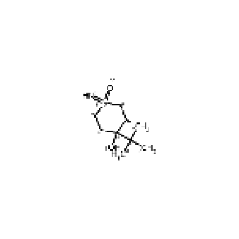 CC(C)(C)C1(O)CCS(=N)(=O)CC1